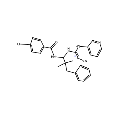 CC(C)(Cc1ccccc1)C(NC(=O)c1ccc(Cl)cc1)N/C(=N/C#N)Nc1cccnc1